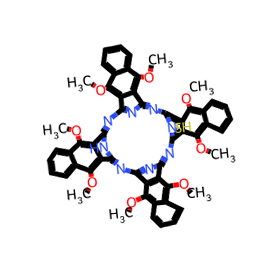 COc1c2c(c(OC)c3ccccc13)-c1nc-2nc2[nH]c(nc3nc(nc4c5c(OC)c6ccccc6c(OC)c5c(n1)n4S)-c1c-3c(OC)c3ccccc3c1OC)c1c(OC)c3ccccc3c(OC)c21